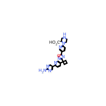 Nc1ncc(-c2ccc(C3(c4noc(-c5ccc(N6CCNC[C@@H]6C(=O)O)nc5)n4)CCC3)cn2)cn1